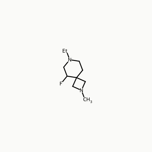 CCN1CCC2(CN(C)C2)C(F)C1